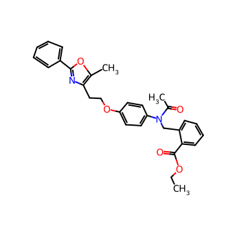 CCOC(=O)c1ccccc1CN(C(C)=O)c1ccc(OCCc2nc(-c3ccccc3)oc2C)cc1